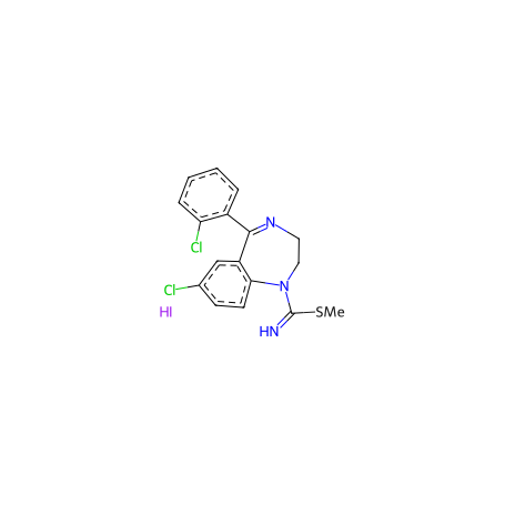 CSC(=N)N1CCN=C(c2ccccc2Cl)c2cc(Cl)ccc21.I